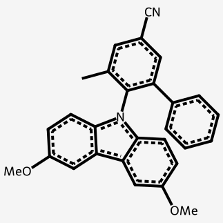 COc1ccc2c(c1)c1cc(OC)ccc1n2-c1c(C)cc(C#N)cc1-c1ccccc1